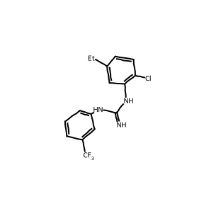 CCc1ccc(Cl)c(NC(=N)Nc2cccc(C(F)(F)F)c2)c1